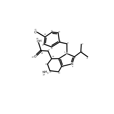 CC(C)c1nc2c(n1Cc1ccc(Cl)cc1)C(CC(=O)O)CCC2.N